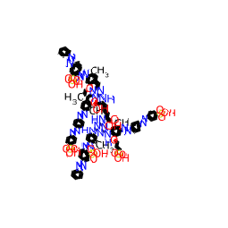 CCCOc1cc(N=Nc2ccc(N=Nc3ccccc3)cc2S(=O)(=O)O)c(C)cc1Cc1nc(Cc2ccc(N=Nc3ccc(N=Nc4ccc(S(=O)(=O)O)cc4)cc3)c(C)c2)nc(NC(CCCC(Nc2nc(Nc3ccc(N=Nc4ccc(N=Nc5ccccc5)cc4S(=O)(=O)O)c(C)c3)nc(Nc3cc(C)c(N=Nc4ccc(N=Nc5ccc(S(=O)(=O)O)cc5)cc4)cc3OCCCS(=O)(=O)O)n2)C(=O)O)C(=O)O)n1